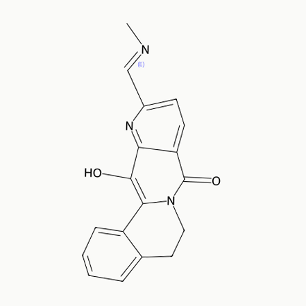 C/N=C/c1ccc2c(=O)n3c(c(O)c2n1)-c1ccccc1CC3